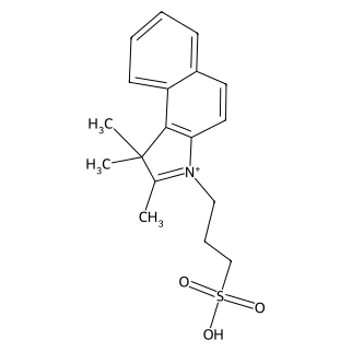 CC1=[N+](CCCS(=O)(=O)O)c2ccc3ccccc3c2C1(C)C